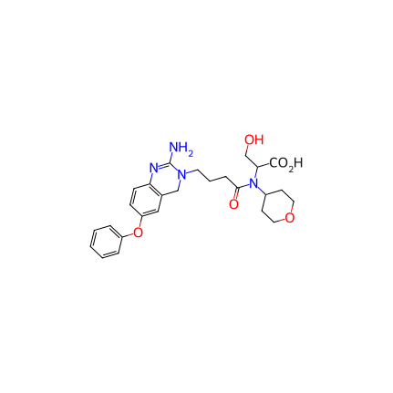 NC1=Nc2ccc(Oc3ccccc3)cc2CN1CCCC(=O)N(C1CCOCC1)C(CO)C(=O)O